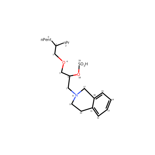 CCCCCC(CCC)COCC(CN1CCc2ccccc2C1)OS(=O)(=O)O